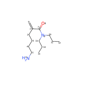 C=C(CCCCN)C(=O)N(CCC)CCC